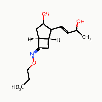 CC(O)C=CC1C(O)C[C@@H]2C(=NOCCC(=O)O)C[C@@H]12